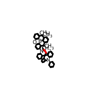 CC1(C)c2cccc3c2B2c4c1cccc4C(C)(C)c1c(N4c5ccccc5C5(c6ccccc6N(c6ccccc6)c6ccccc65)c5ccccc54)ccc(c12)O3